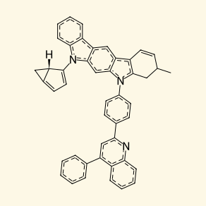 CC1C=Cc2c(n(-c3ccc(-c4cc(-c5ccccc5)c5ccccc5n4)cc3)c3cc4c(cc23)c2ccccc2n4C2=CC=C3C[C@@H]32)C1